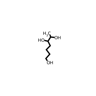 CC(O)C(O)CCCCO